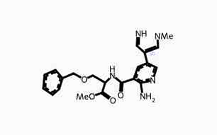 CN/C=C(\C=N)c1cnc(N)c(C(=O)NC(COCc2ccccc2)C(=O)OC)c1